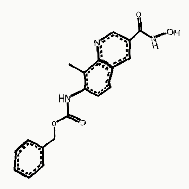 Cc1c(NC(=O)OCc2ccccc2)ccc2cc(C(=O)NO)cnc12